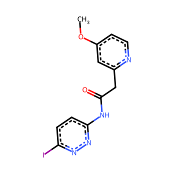 COc1ccnc(CC(=O)Nc2ccc(I)nn2)c1